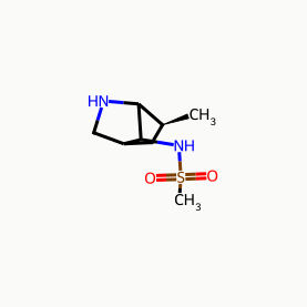 C[C@H]1CC2CNC1C2NS(C)(=O)=O